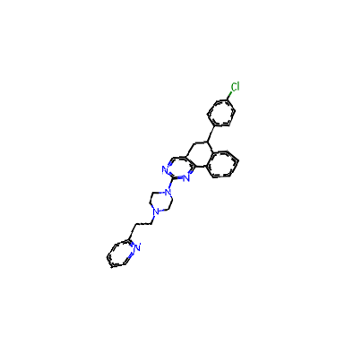 Clc1ccc(C2Cc3cnc(N4CCN(CCc5ccccn5)CC4)nc3-c3ccccc32)cc1